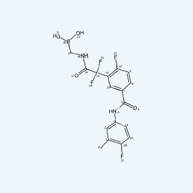 Cc1cc(NC(=O)c2ccc(F)c(C(F)(F)C(=O)NCB(O)O)c2)ccc1F